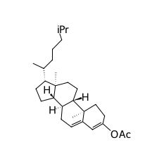 CC(=O)OC1=CC2=CC[C@H]3[C@@H]4CC[C@H](C(C)CCCC(C)C)[C@@]4(C)CC[C@@H]3[C@@]2(C)CC1